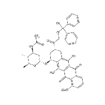 CCC(OCC(=O)[C@@H]1Cc2c(O)c3c(c(O)c2[C@@H](O[C@H]2C[C@H](NC(=O)C(F)(F)F)[C@@H](C)[C@H](C)O2)C1)C(=O)c1c(OC)cccc1C3=O)(c1ccccc1)c1ccccc1